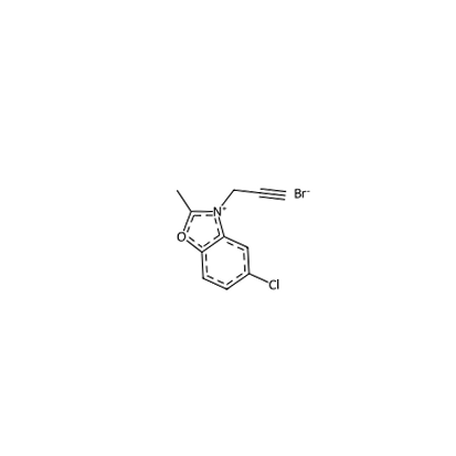 C#CC[n+]1c(C)oc2ccc(Cl)cc21.[Br-]